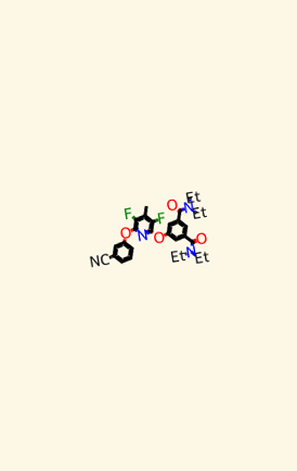 CCN(CC)C(=O)c1cc(Oc2nc(Oc3cccc(C#N)c3)c(F)c(C)c2F)cc(C(=O)N(CC)CC)c1